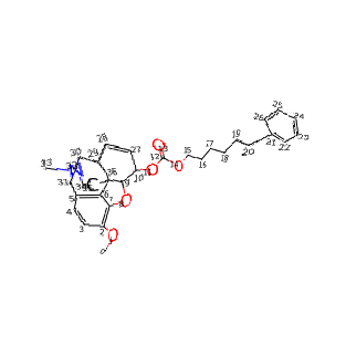 COc1ccc2c3c1OC1C(OC(=O)OCCCCCCc4ccccc4)C=CC4C(C2)N(C)CCC341